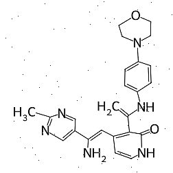 C=C(Nc1ccc(N2CCOCC2)cc1)c1c(/C=C(\N)c2cnc(C)nc2)cc[nH]c1=O